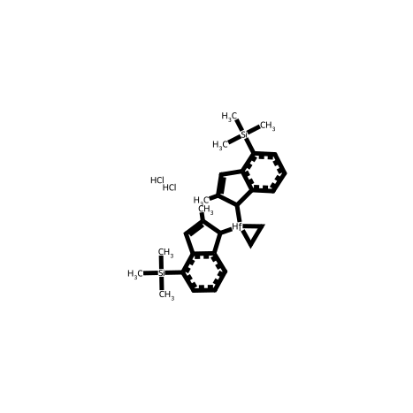 CC1=Cc2c(cccc2[Si](C)(C)C)[CH]1[Hf]1([CH]2C(C)=Cc3c2cccc3[Si](C)(C)C)[CH2][CH2]1.Cl.Cl